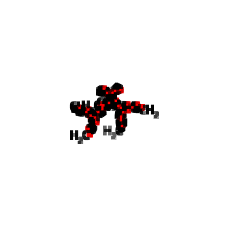 C=Cc1ccc(-c2ccc3c(c2)c2cc(-c4ccc(C=C)cc4)ccc2n3-c2ccc3c(c2)C(C)(C)c2cc4c(cc2-3)c2cc(-n3c5ccc(-c6ccc(C=C)cc6)cc5c5cc(-c6ccc(C=C)cc6)ccc53)ccc2n4-c2nc(-c3ccccc3)nc(-c3ccccc3)n2)cc1